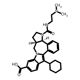 CN(C)CCNC(=O)N1CC[C@H]2Cn3c(c(C4CCCCC4)c4ccc(C(=O)O)cc43)-c3ccccc3[C@@H]21